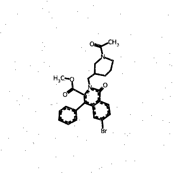 COC(=O)c1c(-c2ccccc2)c2cc(Br)ccc2c(=O)n1CC1CCCN(C(C)=O)C1